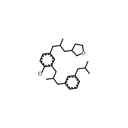 CC(C)Cc1cccc(CC(C)Cc2cc(CC(C)CC3CCOC3)ccc2Cl)c1